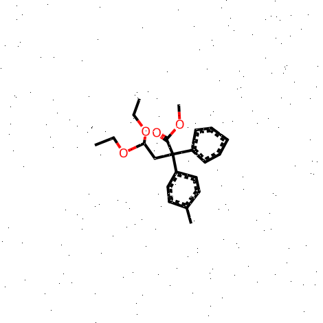 CCOC(CC(C(=O)OC)(c1ccccc1)c1ccc(C)cc1)OCC